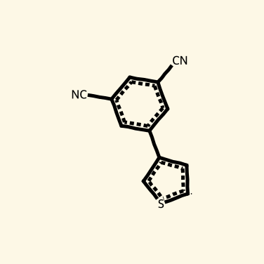 N#Cc1cc(C#N)cc(-c2c[c]sc2)c1